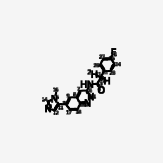 [2H]C([2H])(C(=O)Nc1cc2cc(-c3cncn3C)ccc2nn1)c1ccc(F)cc1